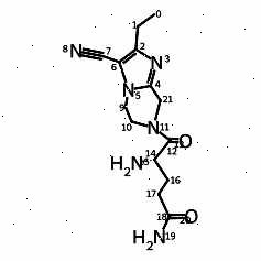 CCc1nc2n(c1C#N)CCN(C(=O)[C@@H](N)CCC(N)=O)C2